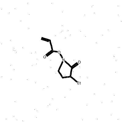 C=CC(=O)ON1CCC(CC)C1=O